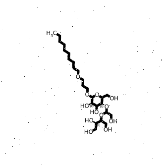 CCCCCCCCCCOCCCOC1OC(CO)[C@H](OC(CO)OC(CO)[C@H](O)CO)C(O)[C@H]1O